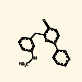 O=C(O)Nc1cccc(Cc2nn(-c3cccnc3)ccc2=O)c1